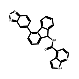 O=C(NC1c2ccccc2-c2c(-c3ccc4nsnc4c3)cccc21)c1ccnc2[nH]ccc12